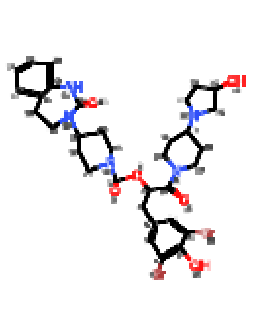 O=C(OC(Cc1cc(Br)c(O)c(Br)c1)C(=O)N1CCC(N2CCC(O)C2)CC1)N1CCC(N2CCc3ccccc3NC2=O)CC1